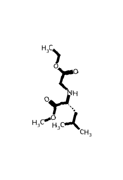 CCOC(=O)CN[C@H](CC(C)C)C(=O)OC